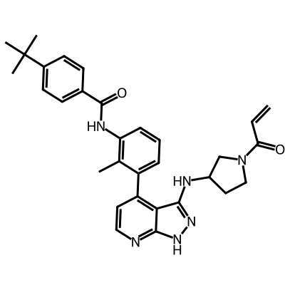 C=CC(=O)N1CCC(Nc2n[nH]c3nccc(-c4cccc(NC(=O)c5ccc(C(C)(C)C)cc5)c4C)c23)C1